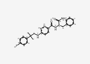 CC(C)(CNc1ccc(C(=O)N[C@H](Cc2ccccc2)C(N)=O)nn1)c1ccc(F)cc1